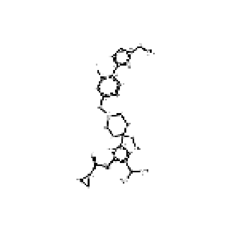 N#CCC1(n2cc(C(N)O)c(NC(=O)C3CC3)n2)CCN(Cc2ccc(-c3ccn(CC(F)(F)F)n3)c(F)c2)CC1